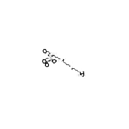 O=C(CCCCCNC(=O)CCCC[C@H]1SC[C@@H]2NC(=O)N[C@@H]21)NCCCCCC(=O)NC(Cc1ccccc1)C(=O)NC(Cc1ccccc1)P(=O)(Oc1ccccc1)Oc1ccccc1